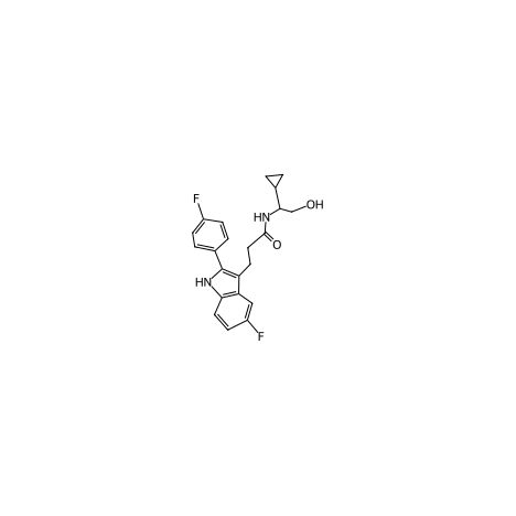 O=C(CCc1c(-c2ccc(F)cc2)[nH]c2ccc(F)cc12)NC(CO)C1CC1